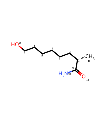 C[C@@H](CCCCC[CH]O)C(N)=O